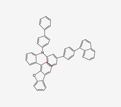 c1ccc(-c2ccc(N(c3cccc(-c4ccc(-c5cccc6ccccc56)cc4)c3)c3ccccc3-c3cccc4c3oc3ccccc34)cc2)cc1